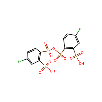 O=S(=O)(O)c1cc(F)ccc1S(=O)(=O)OS(=O)(=O)c1ccc(F)cc1S(=O)(=O)O